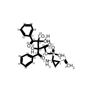 C=C[C@@H]1C[C@@]1(N)P(=O)(O)OC(=O)C(O)(C(=O)c1ccccc1)C(O)(C(=O)O)C(=O)c1ccccc1